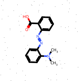 CN(C)c1ccccc1N=Nc1ccccc1C(=O)O